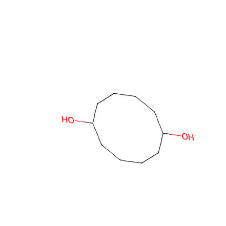 OC1CCCCC(O)CCCC1